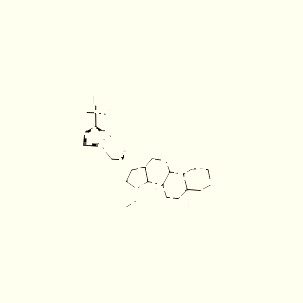 CC[C@@H]1C[C@H](C(=O)Cn2ccc(C(F)(F)F)n2)[C@@]2(C)CCC3[C@@H](CC[C@@H]4C[C@@H](C)CC[C@H]34)C12